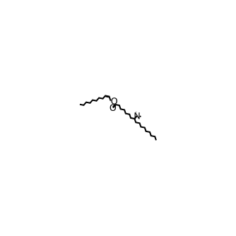 CCCCCCCC/C=C\COC(=O)CCCCCCC(CCCCCCCCC)N(C)C